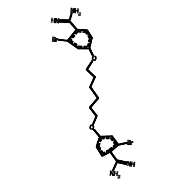 N=C(N)c1ccc(OCCCCCCOc2ccc(C(=N)N)c(Br)c2)cc1Br